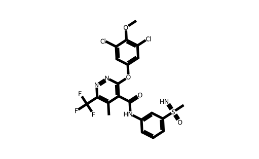 COc1c(Cl)cc(Oc2nnc(C(F)(F)F)c(C)c2C(=O)Nc2cccc(S(C)(=N)=O)c2)cc1Cl